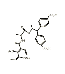 C=N/C(C(=O)N[C@@H](C)C(=O)O[C@@H](C)C(c1ccc(C(=O)OCC)cc1)c1ccc(C(=O)OCC)cc1)=C(OC(C)=O)\C(=C/C)OC